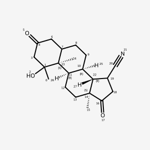 CC1(O)CC(=O)CC2CC[C@@H]3[C@@H](CC[C@]4(C)C(=O)CC(C#N)[C@@H]34)[C@]21C